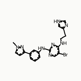 Cn1ccc(-c2cccc(Nc3ncc(Br)c(NCCc4c[nH]cn4)n3)c2)n1